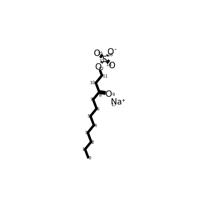 CCCCCCCCC(=O)CCOS(=O)(=O)[O-].[Na+]